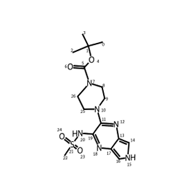 CC(C)(C)OC(=O)N1CCN(c2nc3c[nH]cc3nc2NS(C)(=O)=O)CC1